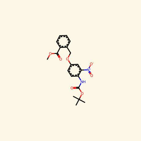 COC(=O)c1ccccc1COc1ccc(NC(=O)OC(C)(C)C)c([N+](=O)[O-])c1